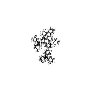 C1=CCCC(c2cc(-c3ccccc3)c(-c3ccccc3)c3c4ccc(N(C5=CC=CCC5)c5ccccc5)cc4c4cc(-c5ccc(N(c6ccccc6)c6ccccc6)cc5)ccc4c23)=C1